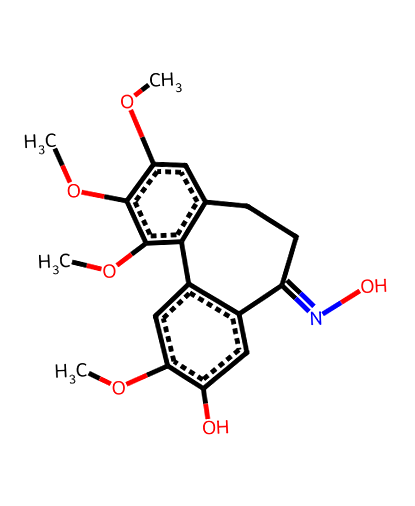 COc1cc2c(cc1O)C(=NO)CCc1cc(OC)c(OC)c(OC)c1-2